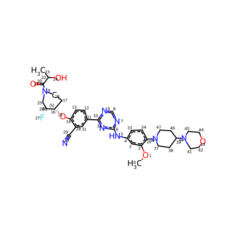 COc1cc(Nc2ncnc(-c3ccc(O[C@H]4CCN(C(=O)C(C)O)C[C@H]4F)c(C#N)c3)n2)ccc1N1CCC(N2CCOCC2)CC1